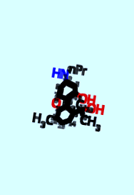 CCCNc1cc(O)c2c(c1)OC1C(C)CCC(C(C)(C)O)C21